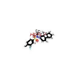 Cc1ccc(S(=O)(=O)NC(O)(Oc2cccc3c2OC2CCCC32)C(=O)O)cc1F